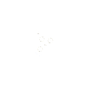 CC/C(=C(\c1ccc(N)c(C=N)c1)c1ccc(/C=C/C(=O)O)cc1OC)c1ccccc1